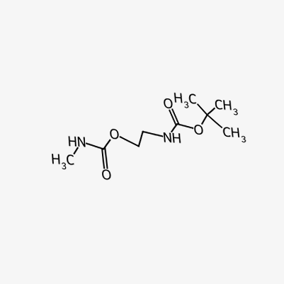 CNC(=O)OCCNC(=O)OC(C)(C)C